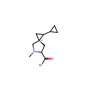 CCC(=O)C1C[C@]2(CC2C2CC2)CN1C